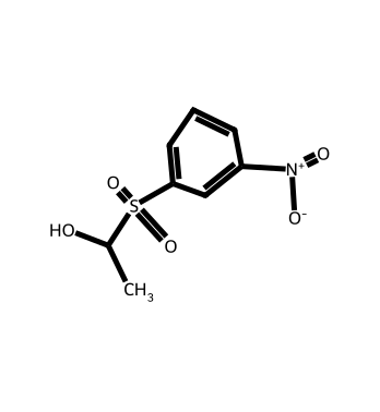 CC(O)S(=O)(=O)c1cccc([N+](=O)[O-])c1